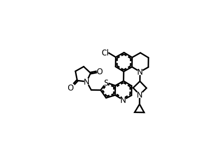 O=C1CCC(=O)N1Cc1cc2nccc(-c3cc(Cl)cc4c3N(C3CN(C5CC5)C3)CCC4)c2s1